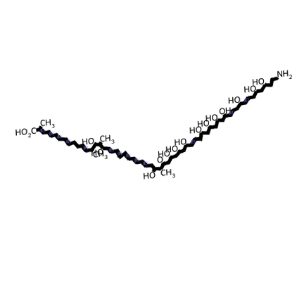 C\C(=C/C=C/C=C/C=C/CC/C=C/C(C)C(O)C(C)C(O)/C=C/C=C/C=C/C=C/C=C/CC(O)C(C)C(=O)CC(O)CC(O)CC(O)/C=C/CC(O)CC(O)CC(O)CC(O)/C=C/CC(O)/C=C/CC(O)CC(O)CCCN)C(=O)O